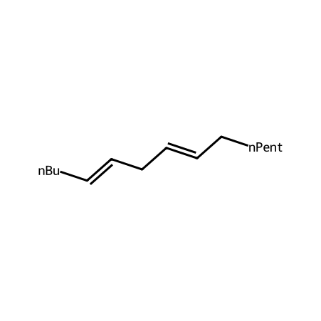 [CH2]CCCCC/C=C/C/C=C/CCCC